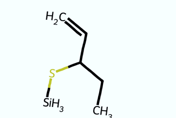 C=CC(CC)S[SiH3]